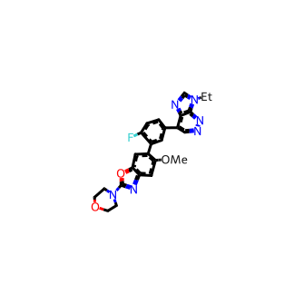 CCn1cnc2c(-c3ccc(F)c(-c4cc5oc(N6CCOCC6)nc5cc4OC)c3)cnnc21